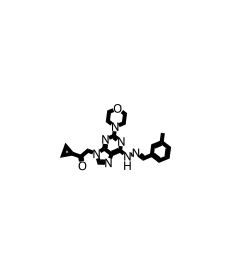 Cc1cccc(C=NNc2nc(N3CCOCC3)nc3c2ncn3CC(=O)C2CC2)c1